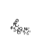 O=C=Nc1cc(OCc2ccccn2)c(Cl)cc1F